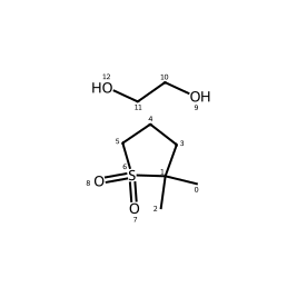 CC1(C)CCCS1(=O)=O.OCCO